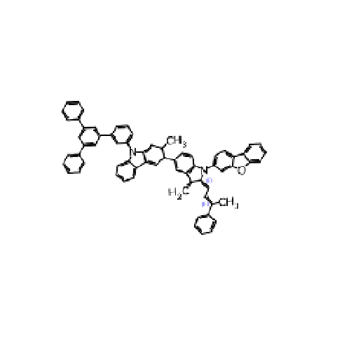 C=c1/c(=C\C=C(/C)c2ccccc2)n(-c2ccc3c(c2)oc2ccccc23)c2ccc(C3C=c4c(n(-c5cccc(-c6cc(-c7ccccc7)cc(-c7ccccc7)c6)c5)c5ccccc45)=CC3C)cc12